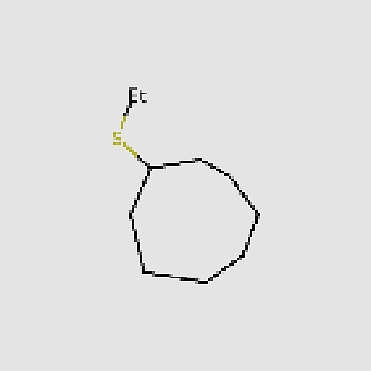 CCSC1CCCCCCC1